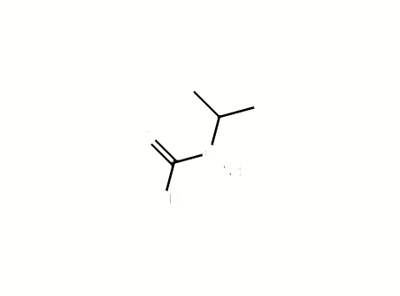 CC(C)OC(=S)S.[Nd]